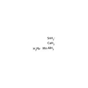 [AlH3].[CaH2].[Mn].[PbH2].[SnH2]